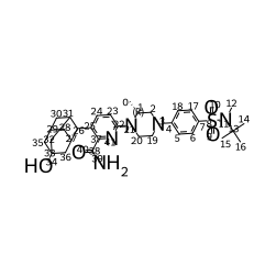 C[C@@H]1CN(c2ccc(S(=O)(=O)N(C)C(C)(C)C)cc2)CCN1c1ccc(C2C3CC4CC2CC(O)(C4)C3)c(C(N)=O)n1